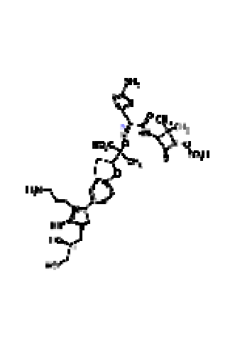 CC(O/N=C(\C(=O)NC1C(=O)N(OS(=O)(=O)O)C1(C)C)c1csc(N)n1)(C(=O)O)C1CCc2cc(-c3cn(C[C@H](O)CO)c(=N)n3CCCN)ccc2O1